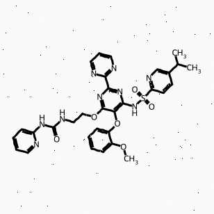 COc1ccccc1Oc1c(NS(=O)(=O)c2ccc(C(C)C)cn2)nc(-c2ncccn2)nc1OCCNC(=O)Nc1ccccn1